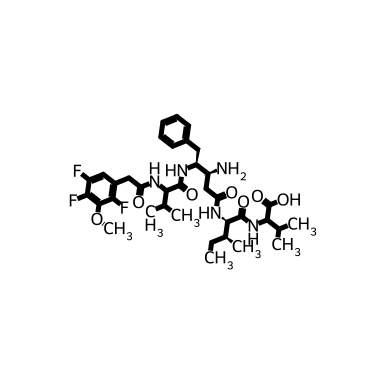 CC[C@H](C)[C@H](NC(=O)C[C@H](N)[C@H](Cc1ccccc1)NC(=O)C(NC(=O)Cc1cc(F)c(F)c(OC)c1F)C(C)C)C(=O)NC(C(=O)O)C(C)C